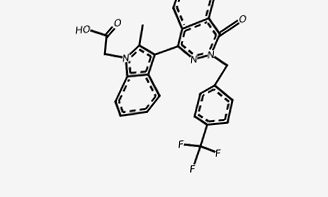 Cc1c(-c2nn(Cc3ccc(C(F)(F)F)cc3)c(=O)c3ccccc23)c2ccccc2n1CC(=O)O